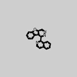 c1ccc2c(-c3nncc4oc5ccccc5c34)nccc2c1